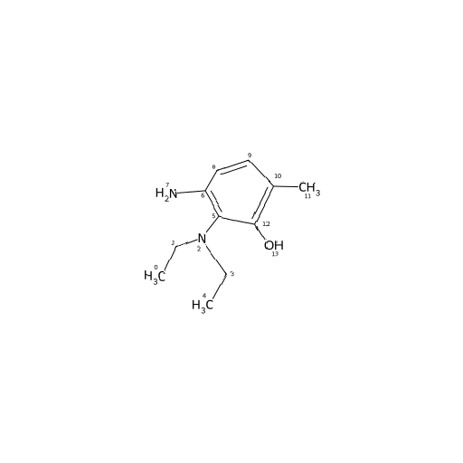 CCN(CC)c1c(N)ccc(C)c1O